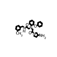 Cc1cccc(CNC(=O)CN(CC(=O)N2CCC(N)C2)c2ccccc2Oc2ccccc2)c1